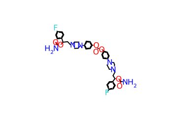 NC(=O)OC(CCN1CCN(c2ccc(OC(=O)Oc3ccc(N4CCN(CCC(OC(N)=O)c5ccc(F)cc5)CC4)cc3)cc2)CC1)c1ccc(F)cc1